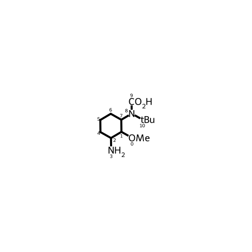 COC1C(N)CCCC1N(C(=O)O)C(C)(C)C